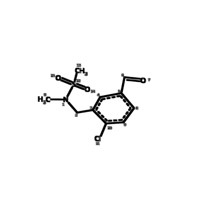 CN(Cc1cc(C=O)ccc1Cl)S(C)(=O)=O